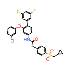 O=C(Cc1ccc(S(=O)(=O)CC2CC2)cc1)Nc1ccc(-c2cc(F)cc(F)c2)c(Oc2cccc(Cl)c2)c1